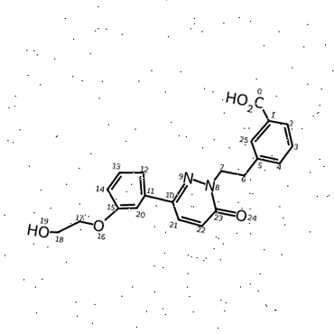 O=C(O)c1cccc(CCn2nc(-c3cccc(OCCO)c3)ccc2=O)c1